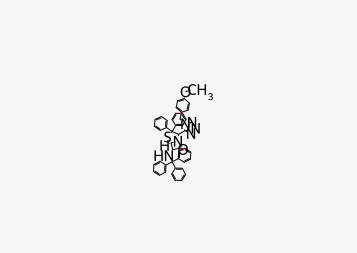 COc1ccc(Cn2nnnc2C2N3C(=O)C(NC(c4ccccc4)(c4ccccc4)c4ccccc4)[C@H]3SC2(c2ccccc2)c2ccccc2)cc1